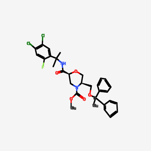 CC(C)(C)OC(=O)N1C[C@@H](C(=O)NC(C)(C)c2cc(Cl)c(Cl)cc2F)OC[C@H]1CO[Si](c1ccccc1)(c1ccccc1)C(C)(C)C